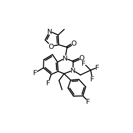 CCC1(c2ccc(F)cc2)c2c(ccc(F)c2F)N(C(=O)c2ocnc2C)C(=O)N1CC(F)(F)F